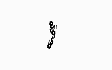 OC1(Cc2ccccc2)CCc2cc(OCc3ccc4ccccc4n3)ccc2O1